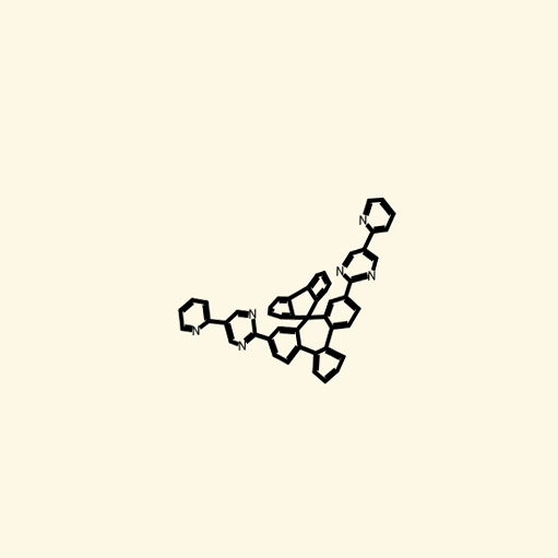 c1ccc(-c2cnc(-c3ccc4c(c3)C3(c5cc(-c6ncc(-c7ccccn7)cn6)ccc5-c5ccccc5-4)c4ccccc4-c4ccccc43)nc2)nc1